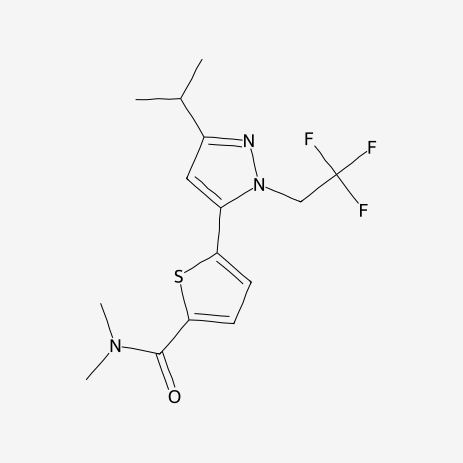 CC(C)c1cc(-c2ccc(C(=O)N(C)C)s2)n(CC(F)(F)F)n1